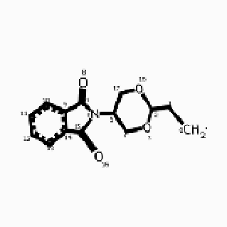 [CH2]CC1OCC(N2C(=O)c3ccccc3C2=O)CO1